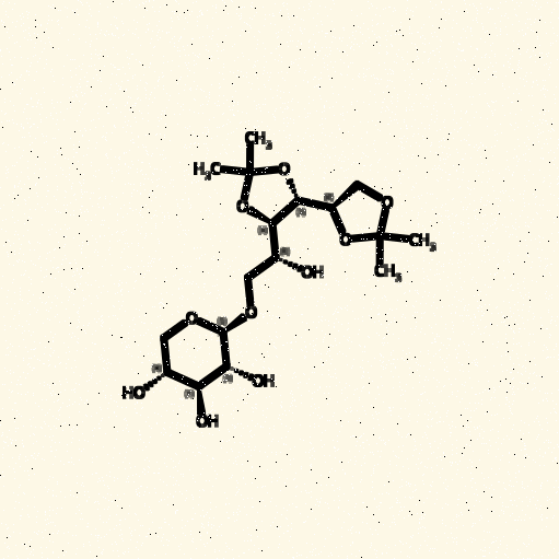 CC1(C)O[C@H]([C@H](O)CO[C@@H]2OC[C@@H](O)[C@H](O)[C@H]2O)[C@@H]([C@H]2COC(C)(C)O2)O1